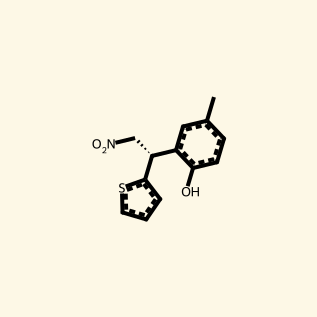 Cc1ccc(O)c([C@@H](C[N+](=O)[O-])c2cccs2)c1